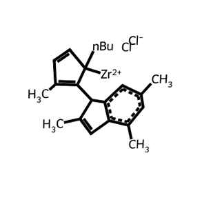 CCCC[C]1([Zr+2])C=CC(C)=C1C1C(C)=Cc2c(C)cc(C)cc21.[Cl-].[Cl-]